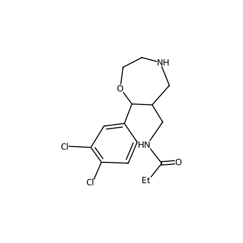 CCC(=O)NCC1CNCCOC1c1ccc(Cl)c(Cl)c1